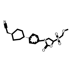 COCS(=O)(=O)C1CN(c2ccc([C@H]3CC[C@H](CC#N)CC3)cc2)C(=O)O1